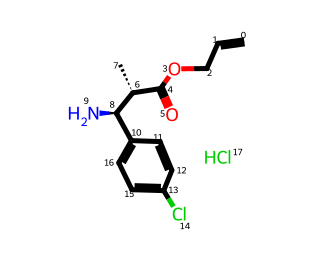 C=CCOC(=O)[C@@H](C)[C@H](N)c1ccc(Cl)cc1.Cl